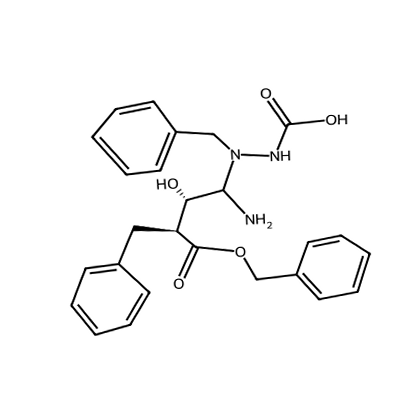 NC([C@@H](O)[C@H](Cc1ccccc1)C(=O)OCc1ccccc1)N(Cc1ccccc1)NC(=O)O